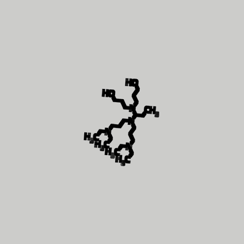 CCC(N(CCCO)CCCO)N(CCCN(CC)CC)CCCN(CC)CC